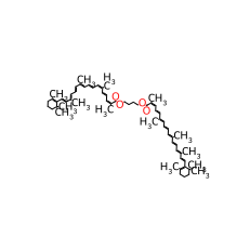 CC(C=CC=C(C)C=CC1=C(C)CCCC1(C)C)=CC=CC=C(C)C=CC=C(C)C(=O)OCCCCOC(=O)\C(C)=C/C=C/C(C)=C/C=C/C=C(C)/C=C/C=C(C)/C=C/C1=C(C)CCCC1(C)C